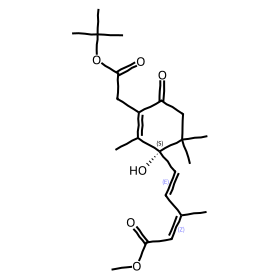 COC(=O)/C=C(C)\C=C\[C@@]1(O)C(C)=C(CC(=O)OC(C)(C)C)C(=O)CC1(C)C